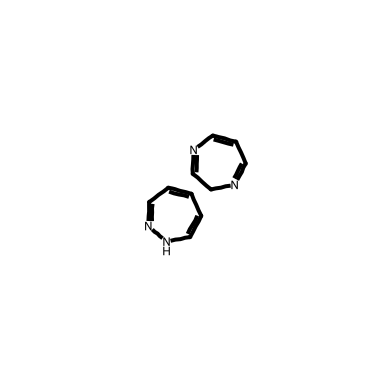 C1=CC=NNC=C1.C1=CN=CCN=C1